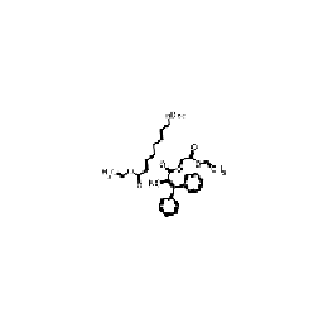 C=COC(=O)CCCCCCCCCCCCCCCCC.C=COC(=O)COC(=O)C(C#N)=C(c1ccccc1)c1ccccc1